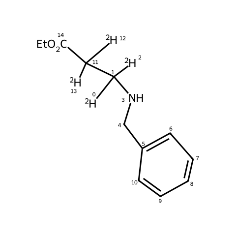 [2H]C([2H])(NCc1ccccc1)C([2H])([2H])C(=O)OCC